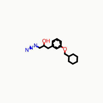 [N-]=[N+]=NCC(O)Cc1cccc(OCC2CCCCC2)c1